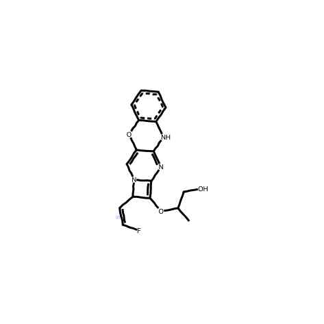 CC(CO)OC1=C2N=C3Nc4ccccc4OC3=CN2C1/C=C\F